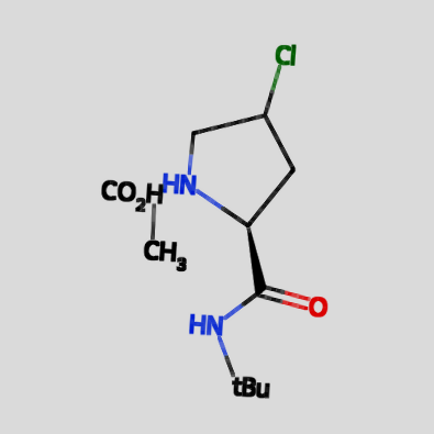 CC(=O)O.CC(C)(C)NC(=O)[C@@H]1CC(Cl)CN1